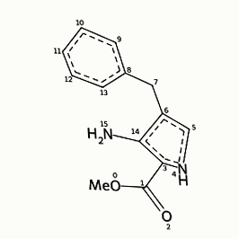 COC(=O)c1[nH]cc(Cc2ccccc2)c1N